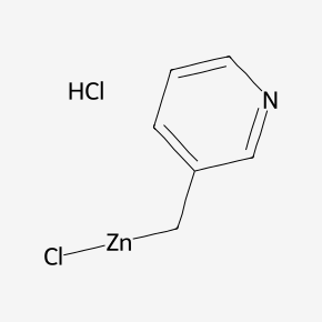 Cl.[Cl][Zn][CH2]c1cccnc1